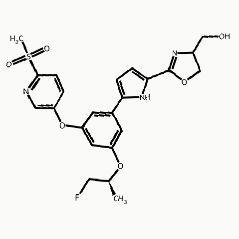 C[C@@H](CF)Oc1cc(Oc2ccc(S(C)(=O)=O)nc2)cc(-c2ccc(C3=NC(CO)CO3)[nH]2)c1